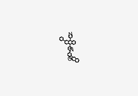 c1ccc(-c2ccc3c(-c4ccc(-c5ccc6oc7cc8ccccc8cc7c6c5)nc4)c4ccccc4c(-c4ccncc4)c3c2)cc1